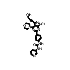 CCn1nc(C#CCO)c2c(N3CCOCC3)nc(-c3ccc(NC(=O)Nc4cccnc4)cc3)nc21